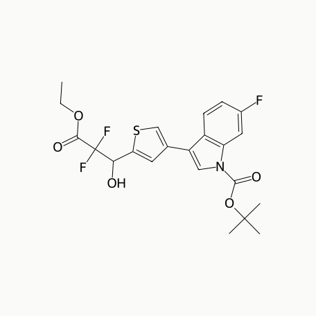 CCOC(=O)C(F)(F)C(O)c1cc(-c2cn(C(=O)OC(C)(C)C)c3cc(F)ccc23)cs1